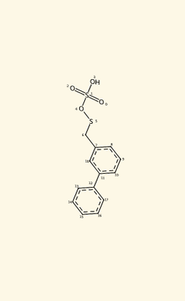 O=S(=O)(O)OSCc1cccc(-c2ccccc2)c1